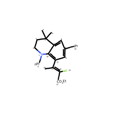 CCCN1CCC(C)(C)c2cc(C(C)C)cc(C(C)=C(F)C(=O)OCC)c21